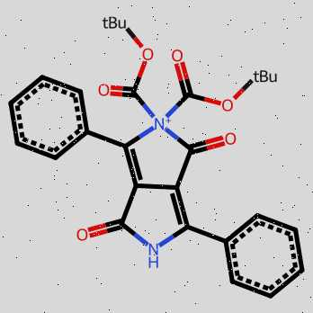 CC(C)(C)OC(=O)[N+]1(C(=O)OC(C)(C)C)C(=O)C2=C(c3ccccc3)NC(=O)C2=C1c1ccccc1